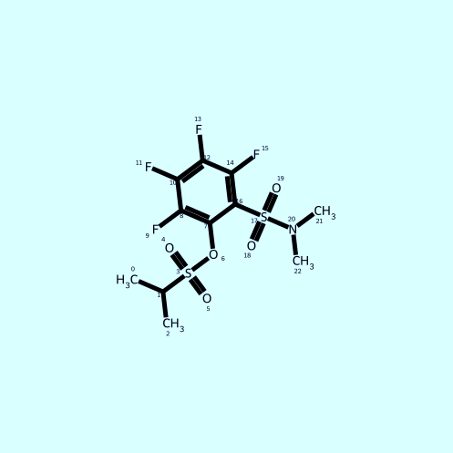 CC(C)S(=O)(=O)Oc1c(F)c(F)c(F)c(F)c1S(=O)(=O)N(C)C